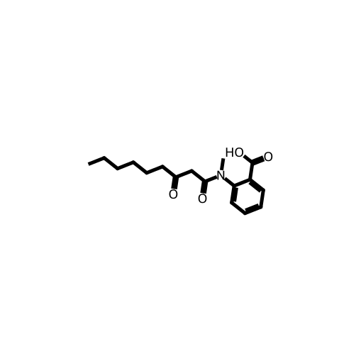 CCCCCCC(=O)CC(=O)N(C)c1ccccc1C(=O)O